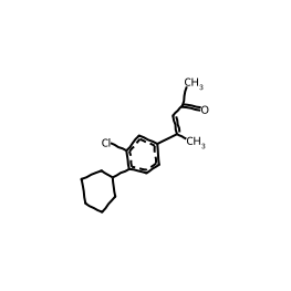 CC(=O)C=C(C)c1ccc(C2CCCCC2)c(Cl)c1